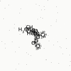 C[N+](C)(C)CCOP(=O)(O)OCC(COC(=O)c1ccccc1)OC(=O)c1ccccc1